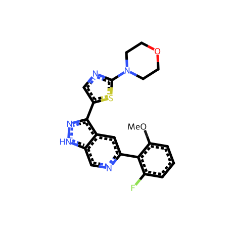 COc1cccc(F)c1-c1cc2c(-c3cnc(N4CCOCC4)s3)n[nH]c2cn1